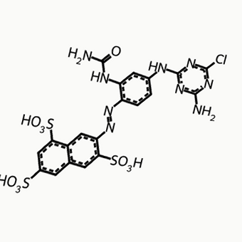 NC(=O)Nc1cc(Nc2nc(N)nc(Cl)n2)ccc1/N=N/c1cc2c(S(=O)(=O)O)cc(S(=O)(=O)O)cc2cc1S(=O)(=O)O